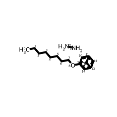 CCCCCCCCOc1cc2cc(c1)C2=O.NN